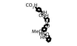 COc1cc(CC(=O)N2CCCC(CNC(=O)Nc3ccc(CC(=O)O)cc3)C2)ccc1NC(=O)Nc1ccccc1C